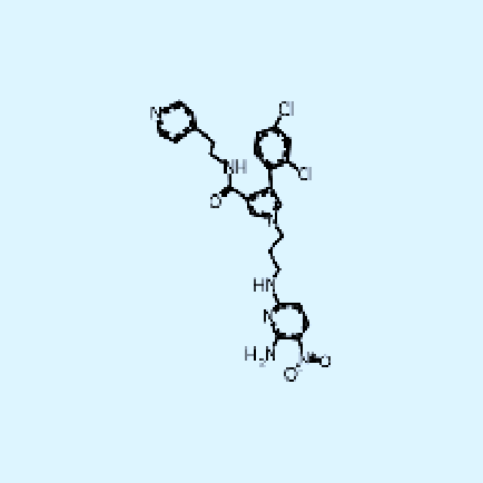 Nc1nc(NCCCn2cc(C(=O)NCCc3ccncc3)c(-c3ccc(Cl)cc3Cl)c2)ccc1[N+](=O)[O-]